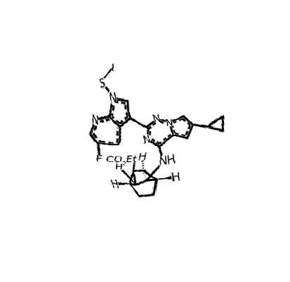 CCOC(=O)[C@H]1[C@H]2CC[C@H](CC2)[C@@H]1Nc1nc(-c2cn(SI)c3ncc(F)cc23)nn2cc(C3CC3)cc12